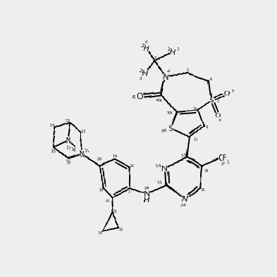 [2H]C([2H])([2H])N1CCS(=O)(=O)c2cc(-c3nc(Nc4ccc(N5CC6CC(C5)N6C)cc4C4CC4)ncc3C(F)(F)F)sc2C1=O